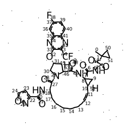 CC1(S(=O)(=O)NC(=O)[C@@]23C[C@H]2C=CCCCCC[C@H](NC(=O)c2ccon2)C(=O)N2C[C@H](Oc4nc5cc(F)ccc5nc4C(F)(F)F)C[C@H]2C(=O)N3)CC1